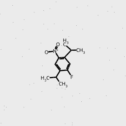 CC(C)c1cc([N+](=O)[O-])c(C(C)C)cc1F